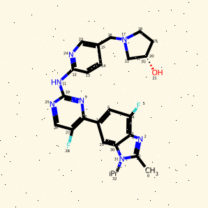 Cc1nc2c(F)cc(-c3nc(Nc4ccc(CN5CC[C@H](O)C5)cn4)ncc3F)cc2n1C(C)C